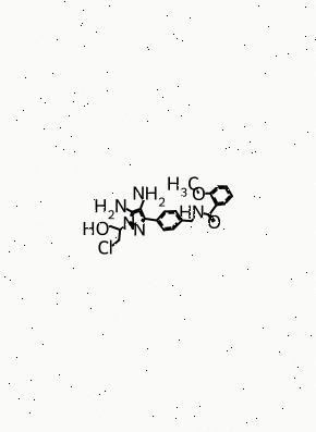 COc1ccccc1C(=O)NCc1ccc(-c2nn(C(CO)CCl)c(N)c2CN)cc1